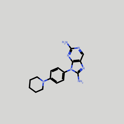 Nc1ncc2nc(N)n(-c3ccc(N4CCCCC4)cc3)c2n1